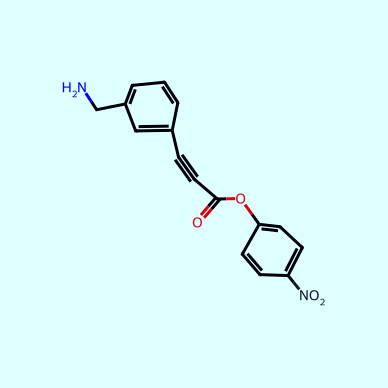 NCc1cccc(C#CC(=O)Oc2ccc([N+](=O)[O-])cc2)c1